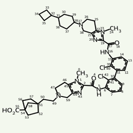 Cn1c(C(=O)Nc2cccc(-c3cccc(NC(=O)c4nc5c(n4C)CCN(C4CCC(C6CCC6)CC4)C5)c3Cl)c2Cl)nc2c1CCN(CCC13CCC(C(=O)O)(CC1)C3)C2